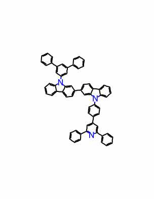 c1ccc(-c2cc(-c3ccccc3)cc(-n3c4ccccc4c4ccc(-c5ccc6c7ccccc7n(-c7ccc(-c8cc(-c9ccccc9)nc(-c9ccccc9)c8)cc7)c6c5)cc43)c2)cc1